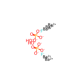 O=P([O-])([O-])[O-].O=P([O-])([O-])[O-].[Ba+2].[Ba+2].[Ba+2].[Ba+2].[Ba+2].[F-].[F-].[OH-].[OH-]